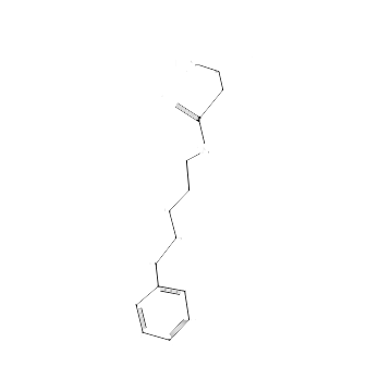 N[C@@H](CC(=O)NCCCCCc1ccccc1)C(=O)O